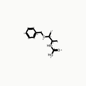 CC(NC(=O)O)C(I)OCc1ccccc1